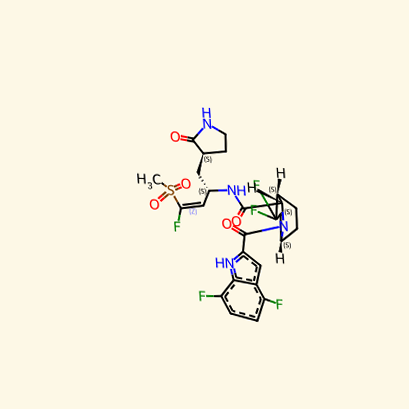 CS(=O)(=O)/C(F)=C\[C@H](C[C@@H]1CCNC1=O)NC(=O)[C@@H]1[C@@H]2CC[C@@H](CC2(F)F)N1C(=O)c1cc2c(F)ccc(F)c2[nH]1